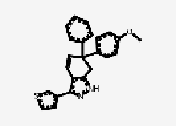 COc1ccc(C2(c3ccccc3)C=Cc3c(-c4ccsc4)n[nH]c3C2)cc1